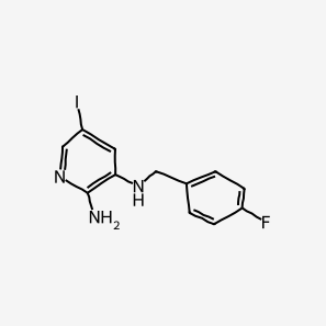 Nc1ncc(I)cc1NCc1ccc(F)cc1